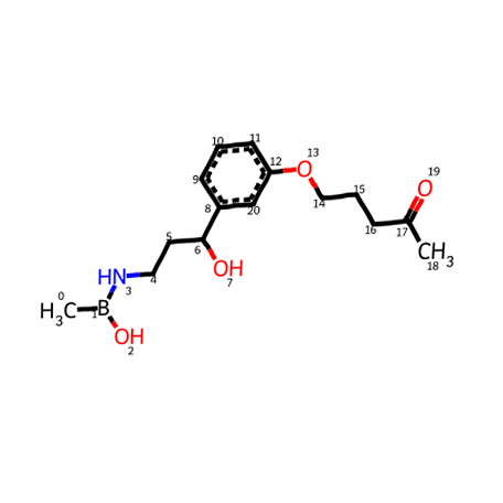 CB(O)NCCC(O)c1cccc(OCCCC(C)=O)c1